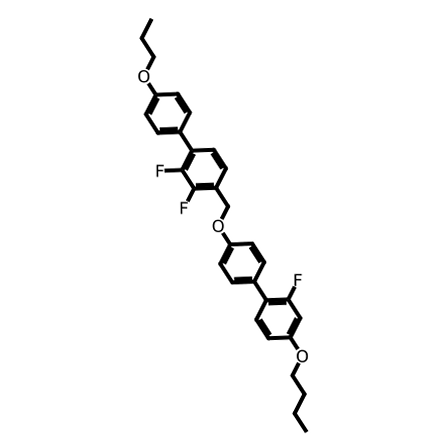 CCCCOc1ccc(-c2ccc(OCc3ccc(-c4ccc(OCCC)cc4)c(F)c3F)cc2)c(F)c1